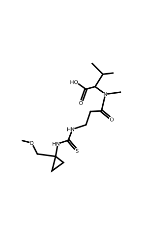 COCC1(NC(=S)NCCC(=O)N(C)C(C(=O)O)C(C)C)CC1